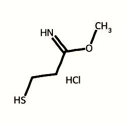 COC(=N)CCS.Cl